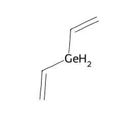 C=[CH][GeH2][CH]=C